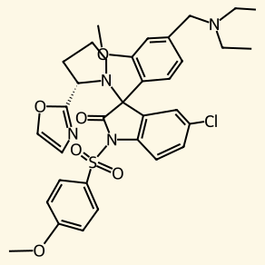 CCN(CC)Cc1ccc(C2(N3CCC[C@H]3c3ncco3)C(=O)N(S(=O)(=O)c3ccc(OC)cc3)c3ccc(Cl)cc32)c(OC)c1